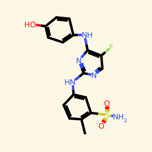 Cc1ccc(Nc2ncc(F)c(Nc3ccc(O)cc3)n2)cc1S(N)(=O)=O